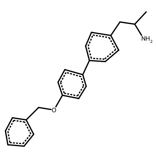 CC(N)Cc1ccc(-c2ccc(OCc3ccccc3)cc2)cc1